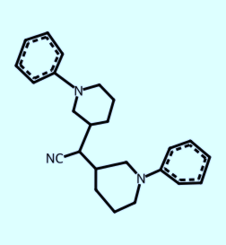 N#CC(C1CCCN(c2ccccc2)C1)C1CCCN(c2ccccc2)C1